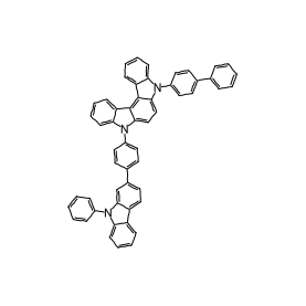 c1ccc(-c2ccc(-n3c4ccccc4c4c5c6ccccc6n(-c6ccc(-c7ccc8c9ccccc9n(-c9ccccc9)c8c7)cc6)c5ccc43)cc2)cc1